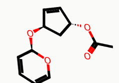 CC(=O)O[C@H]1C=C[C@H](O[C@@H]2C=CC=CO2)C1